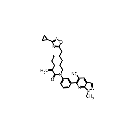 C=C(CCF)C(=O)N(CCCCCc1nc(C2CC2)no1)c1cccc(-c2nc3c(cnn3C)cc2C#N)c1